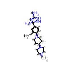 Cc1cc(C2(N)N=C(N)NN2)ccc1N1CCC(N2CCN(C)CC2)CC1